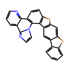 c1ccc2c(c1)sc1cc3sc4ccc5c6ncccc6c6nccn6c5c4c3cc12